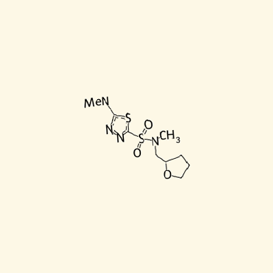 CNc1nnc(S(=O)(=O)N(C)CC2CCCO2)s1